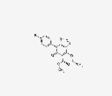 CCOc1c(C(=O)OC)c(=O)n(-c2ccc(F)cc2)c2scnc12